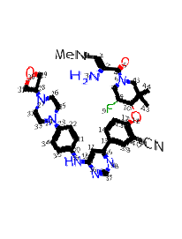 CN/C=C(\N)C(=O)N1C[C@@H](F)[C@@H](Oc2ccc(-c3cc(Nc4ccc(N5CCN(C6COC6)CC5)cc4)ncn3)cc2C#N)C(C)(C)C1